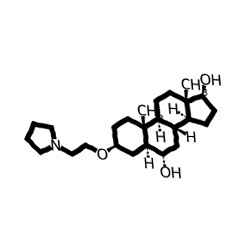 C[C@]12CC[C@H](OCCN3CCCC3)C[C@@H]1[C@@H](O)C[C@@H]1[C@@H]2CC[C@]2(C)[C@@H](O)CC[C@@H]12